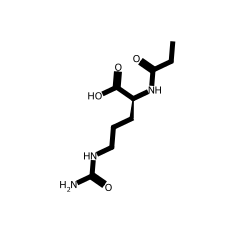 CCC(=O)N[C@@H](CCCNC(N)=O)C(=O)O